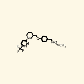 CCON=Cc1ccc(OCC2CCCN(c3ccc(C(F)(F)F)nn3)C2)cc1